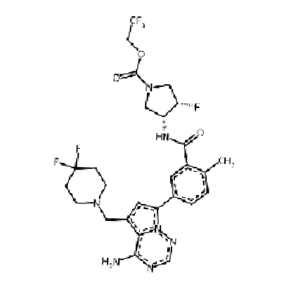 Cc1ccc(-c2cc(CN3CCC(F)(F)CC3)c3c(N)ncnn23)cc1C(=O)N[C@@H]1CN(C(=O)OCC(F)(F)F)C[C@@H]1F